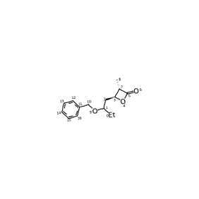 CCC(C[C@@H]1OC(=O)[C@H]1C)OCc1ccccc1